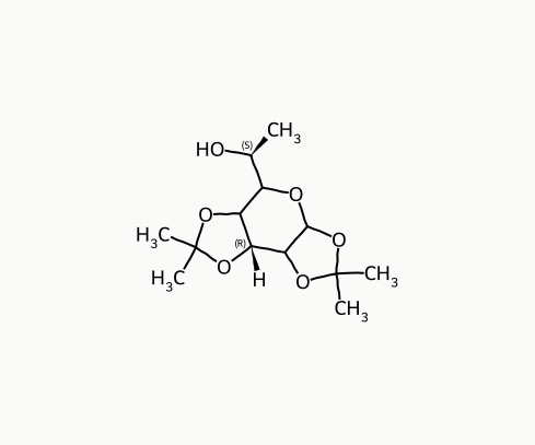 C[C@H](O)C1OC2OC(C)(C)OC2[C@@H]2OC(C)(C)OC12